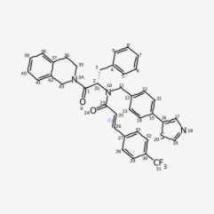 O=C([C@H](Cc1ccccc1)N(Cc1ccc(-c2cncs2)cc1)C(=O)/C=C/c1ccc(C(F)(F)F)cc1)N1CCc2ccccc2C1